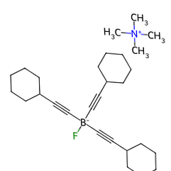 C[N+](C)(C)C.F[B-](C#CC1CCCCC1)(C#CC1CCCCC1)C#CC1CCCCC1